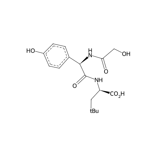 CC(C)(C)C[C@@H](NC(=O)[C@H](NC(=O)CO)c1ccc(O)cc1)C(=O)O